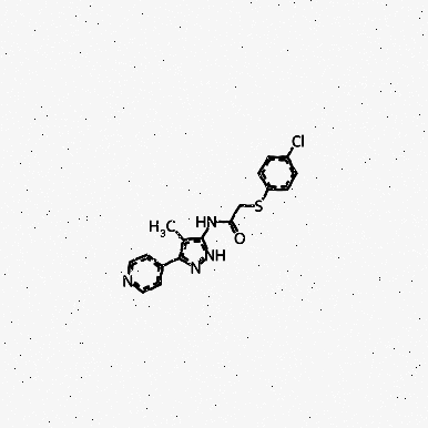 Cc1c(-c2ccncc2)n[nH]c1NC(=O)CSc1ccc(Cl)cc1